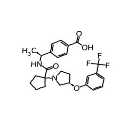 C[C@H](NC(=O)C1(N2CC[C@@H](Oc3cccc(C(F)(F)F)c3)C2)CCCC1)c1ccc(C(=O)O)cc1